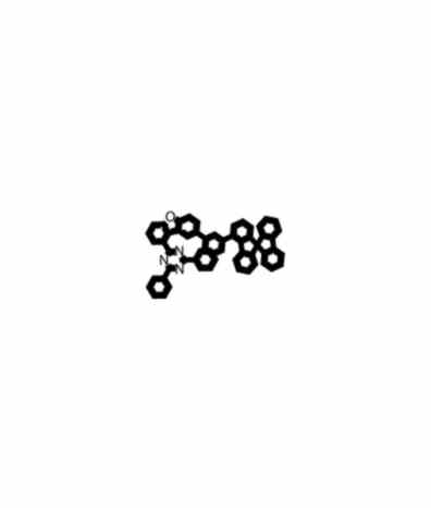 c1ccc(-c2nc(-c3ccccc3)nc(-c3cccc4oc5ccc(-c6cccc(-c7cccc8c7-c7ccccc7C87c8ccccc8-c8ccccc87)c6)cc5c34)n2)cc1